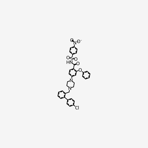 O=C(NS(=O)(=O)c1ccc([N+](=O)[O-])cc1)c1ccc(N2CCN(Cc3ccccc3-c3ccc(Cl)cc3)CC2)cc1Oc1ccccc1